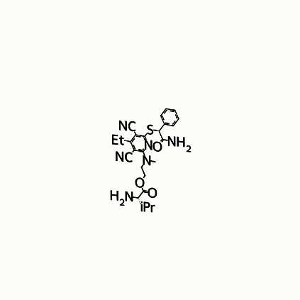 CCc1c(C#N)c(SC(C(N)=O)c2ccccc2)nc(N(C)CCOC(=O)[C@@H](N)C(C)C)c1C#N